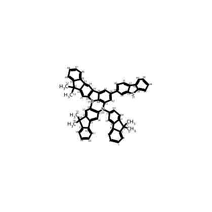 CC1(C)c2ccccc2-c2cc(N3c4cc5c(cc4B4c6cc7c(cc6-c6cc(-c8ccc9c(c8)sc8ccccc89)cc3c64)-c3ccccc3C7(C)C)C(C)(C)c3ccccc3-5)ccc21